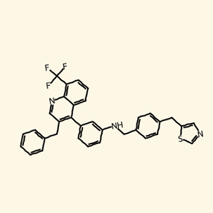 FC(F)(F)c1cccc2c(-c3cccc(NCc4ccc(Cc5cncs5)cc4)c3)c(Cc3ccccc3)cnc12